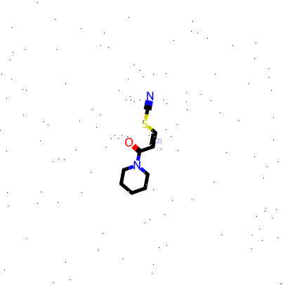 N#CS/C=C\C(=O)N1CCCCC1